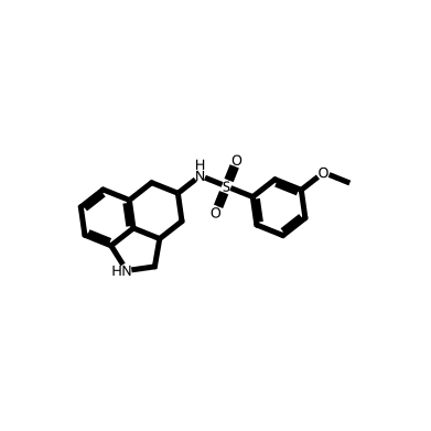 COc1cccc(S(=O)(=O)NC2Cc3cccc4c3C(CN4)C2)c1